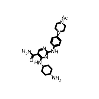 CC(=O)N1CCN(c2ccc(Nc3ncc(C(N)=O)c(N[C@H]4CC[C@@H](N)CC4)n3)cc2)CC1